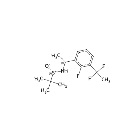 C[C@@H](N[S@@+]([O-])C(C)(C)C)c1cccc(C(C)(F)F)c1F